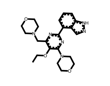 CCOc1c(CN2CCOCC2)nc(-c2cccc3[nH]ncc23)nc1N1CCOCC1